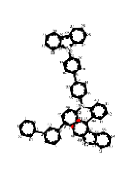 c1ccc(-c2cccc(-c3ccc(N(c4ccc(-c5ccc(-n6c7ccccc7c7ccccc76)cc5)cc4)c4ccccc4-c4cccc5oc6ccccc6c45)cc3)c2)cc1